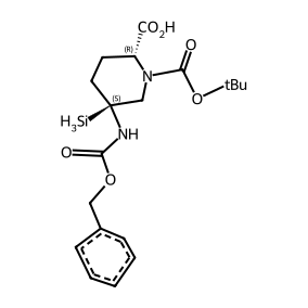 CC(C)(C)OC(=O)N1C[C@]([SiH3])(NC(=O)OCc2ccccc2)CC[C@@H]1C(=O)O